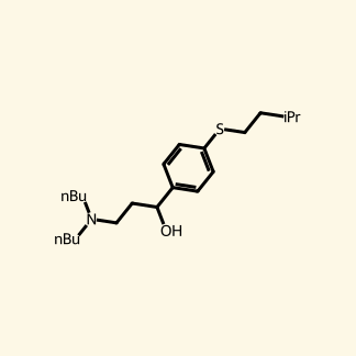 CCCCN(CCCC)CCC(O)c1ccc(SCCC(C)C)cc1